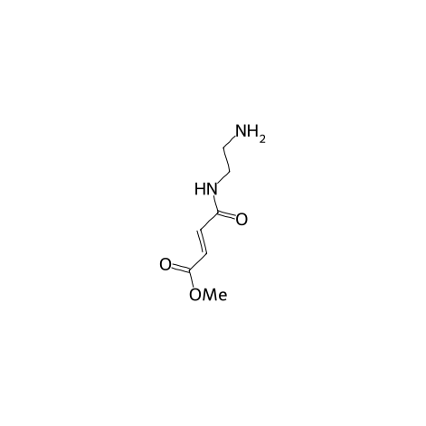 COC(=O)C=CC(=O)NCCN